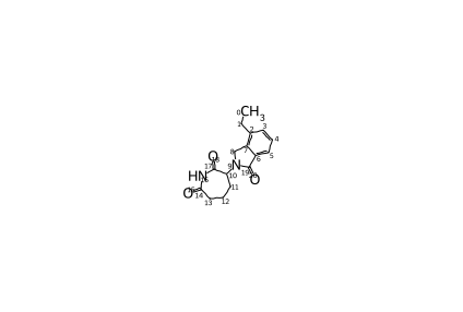 CCc1cccc2c1CN(C1CCCC(=O)NC1=O)C2=O